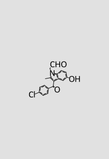 Cc1c(C(=O)c2ccc(Cl)cc2)c2cc(O)ccc2n1CC=O